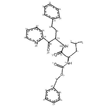 CC(C)CC(NC(=O)OCc1ccccc1)C(=O)NC(CCc1ccccc1)C(=O)c1ccccn1